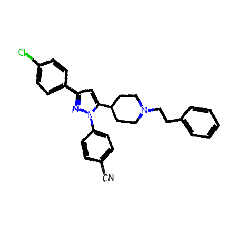 N#Cc1ccc(-n2nc(-c3ccc(Cl)cc3)cc2C2CCN(CCc3ccccc3)CC2)cc1